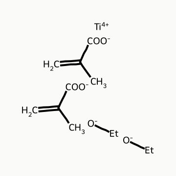 C=C(C)C(=O)[O-].C=C(C)C(=O)[O-].CC[O-].CC[O-].[Ti+4]